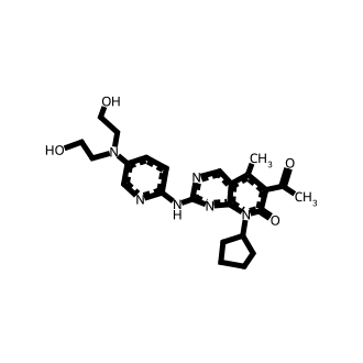 CC(=O)c1c(C)c2cnc(Nc3ccc(N(CCO)CCO)cn3)nc2n(C2CCCC2)c1=O